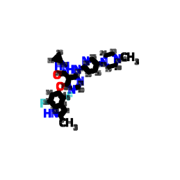 Cc1cc2c(F)c(Oc3ncnc(Nc4ccc(N5CCN(C)CC5)cn4)c3C(=O)NC3CC3)cc(F)c2[nH]1